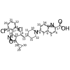 O=C(O)c1ccc2cc(N3CCC(C=Cc4c(-c5c(Cl)cccc5Cl)noc4C4CC4)CC3)ccc2n1